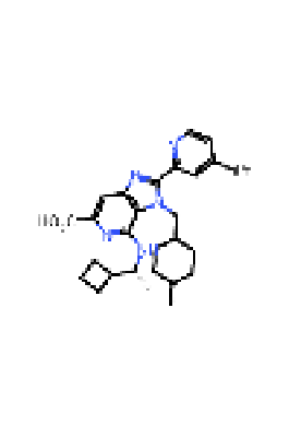 CC1CCC(Cn2c(-c3cc(C(C)C)ccn3)nc3cc(C(=O)O)nc(N[C@H](C)C4CCC4)c32)CC1